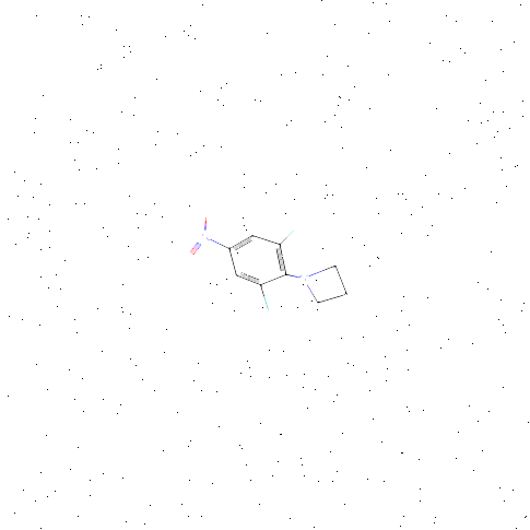 O=[N+]([O-])c1cc(F)c(N2CCC2)c(F)c1